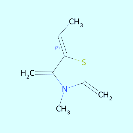 C=C1S/C(=C\C)C(=C)N1C